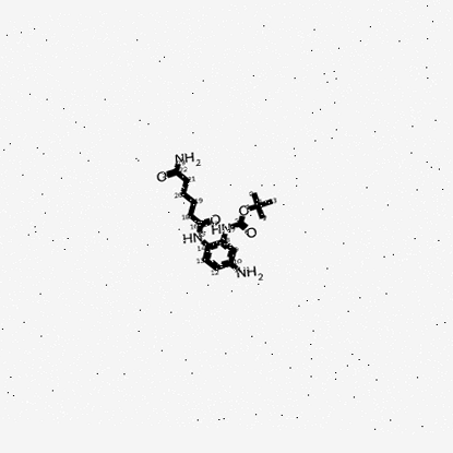 CC(C)(C)OC(=O)Nc1cc(N)ccc1NC(=O)CCCCC(N)=O